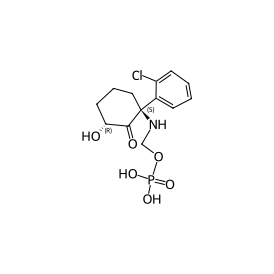 O=C1[C@H](O)CCC[C@]1(NCOP(=O)(O)O)c1ccccc1Cl